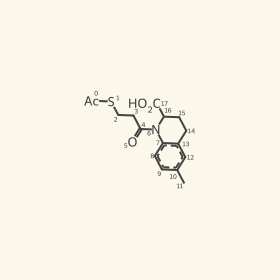 CC(=O)SCCC(=O)N1c2ccc(C)cc2CCC1C(=O)O